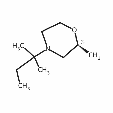 CCC(C)(C)N1CCO[C@@H](C)C1